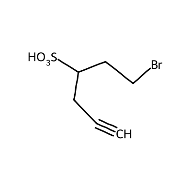 C#CCC(CCBr)S(=O)(=O)O